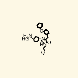 COCCCNC(=O)C(Cc1cccc(Oc2ccccc2)c1)NC(=O)[C@H]1CC[C@H](CN)CC1.Cl